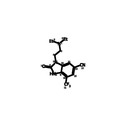 CCN(CC)CCn1c(=O)[nH]c2c(C(F)(F)F)cc(C#N)cc21